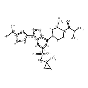 CC(C)C(=O)N1CCN(c2cc(S(=O)(=O)NC3(C)CC3)cn3c(-c4nnc(C(F)F)s4)ncc23)C[C@H]1C